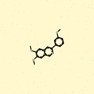 COc1cccc(-c2cc3cc(OC)c(OC)cc3cn2)c1